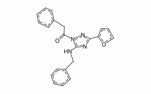 O=C(Cc1ccccc1)n1nc(-c2ccco2)nc1NCc1ccccc1